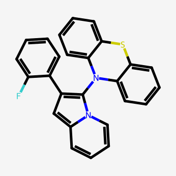 Fc1ccccc1-c1cc2ccccn2c1N1c2ccccc2Sc2ccccc21